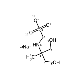 CC(CO)(CO)NCS(=O)(=O)[O-].[Na+]